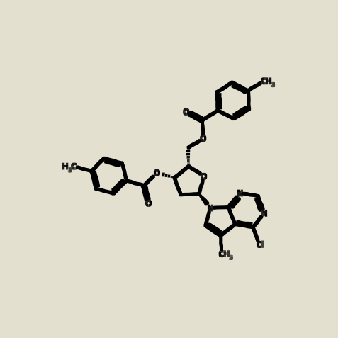 Cc1ccc(C(=O)OC[C@@H]2O[C@@H](n3cc(C)c4c(Cl)ncnc43)C[C@@H]2OC(=O)c2ccc(C)cc2)cc1